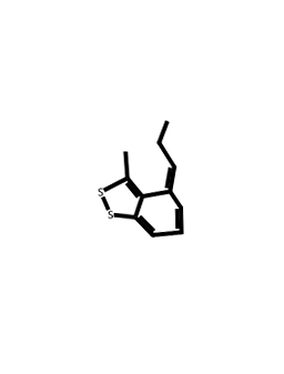 CC/C=c1/cccc2c1=C(C)SS2